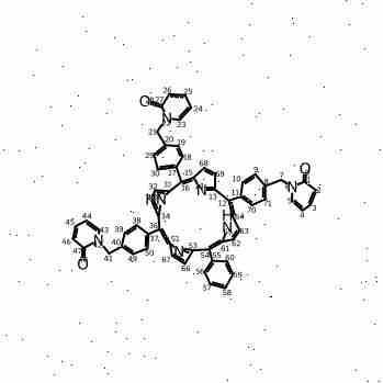 O=c1ccccn1Cc1ccc(-c2c3nc(c(-c4ccc(Cn5ccccc5=O)cc4)c4ccc([nH]4)c(-c4ccc(Cn5ccccc5=O)cc4)c4nc(c(-c5ccccc5)c5ccc2[nH]5)C=C4)C=C3)cc1